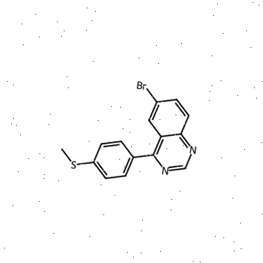 CSc1ccc(-c2ncnc3ccc(Br)cc23)cc1